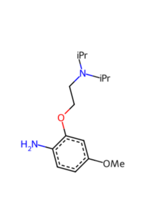 COc1ccc(N)c(OCCN(C(C)C)C(C)C)c1